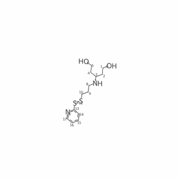 OCCC(CCO)NCCCSSc1ccccn1